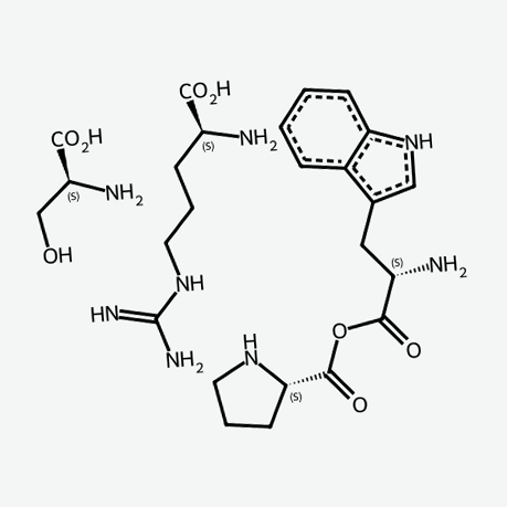 N=C(N)NCCC[C@H](N)C(=O)O.N[C@@H](CO)C(=O)O.N[C@@H](Cc1c[nH]c2ccccc12)C(=O)OC(=O)[C@@H]1CCCN1